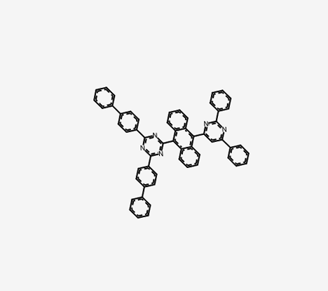 c1ccc(-c2ccc(-c3nc(-c4ccc(-c5ccccc5)cc4)nc(-c4c5ccccc5c(-c5cc(-c6ccccc6)nc(-c6ccccc6)n5)c5ccccc45)n3)cc2)cc1